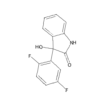 O=C1Nc2ccccc2C1(O)c1cc(F)ccc1F